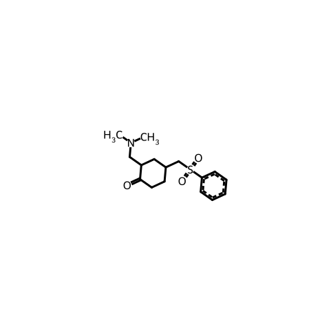 CN(C)CC1CC(CS(=O)(=O)c2ccccc2)CCC1=O